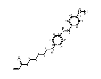 C=CC(=O)CCCCCCOc1ccc(N=Nc2ccc(OCC)cc2)cc1